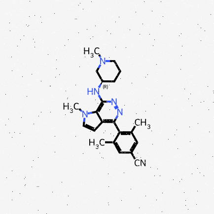 Cc1cc(C#N)cc(C)c1-c1nnc(N[C@@H]2CCCN(C)C2)c2c1ccn2C